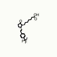 O=C(O)CCCCCC[C@@H]1C(=O)CC[C@H]1C=Cc1ccc(C(F)(F)F)cc1